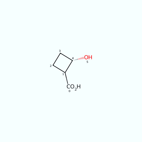 O=C(O)C1CC[C@@H]1O